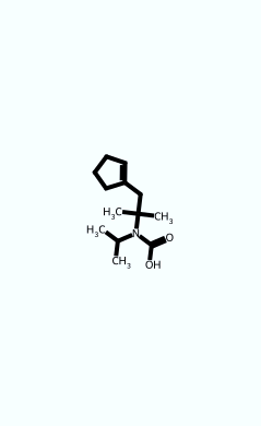 CC(C)N(C(=O)O)C(C)(C)CC1=CCCC1